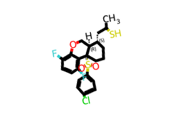 CC(S)C[C@@H]1CCC[C@@]2(S(=O)(=O)c3ccc(Cl)cc3)c3c(F)ccc(F)c3OC[C@@H]12